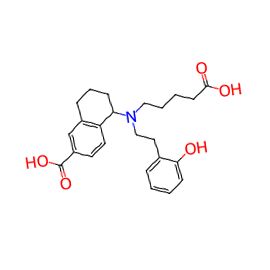 O=C(O)CCCCN(CCc1ccccc1O)C1CCCc2cc(C(=O)O)ccc21